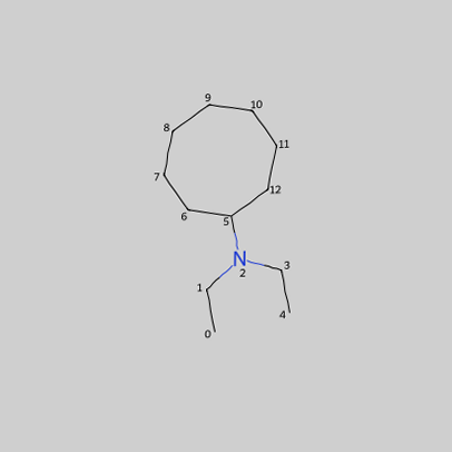 CCN(CC)C1CCCCCCC1